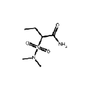 CCC(C(N)=O)S(=O)(=O)N(C)C